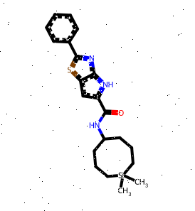 C[Si]1(C)CCCC(NC(=O)c2cc3sc(-c4ccccc4)nc3[nH]2)CCC1